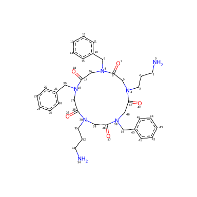 NCCCN1CC(=O)N(Cc2ccccc2)CC(=O)N(Cc2ccccc2)CC(=O)N(CCCN)CC(=O)N(Cc2ccccc2)CC1=O